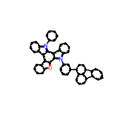 c1ccc(-n2c3ccccc3c3c4c5ccccc5oc4c4c(c5ccccc5n4-c4cccc(-c5ccc6c7c(cccc57)-c5ccccc5-6)c4)c32)cc1